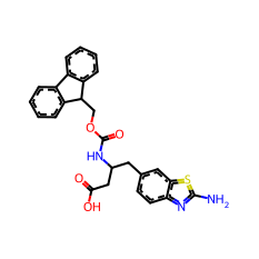 Nc1nc2ccc(CC(CC(=O)O)NC(=O)OCC3c4ccccc4-c4ccccc43)cc2s1